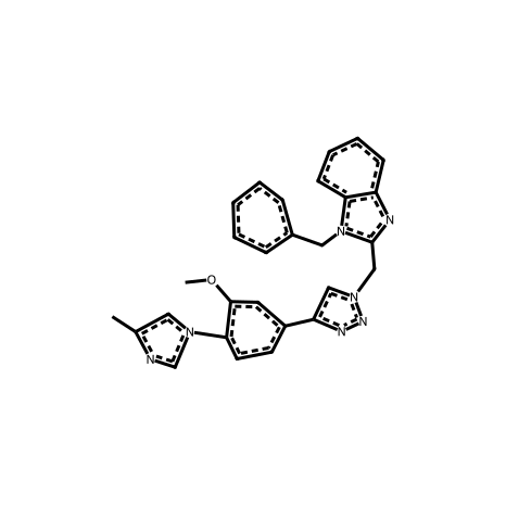 COc1cc(-c2cn(Cc3nc4ccccc4n3Cc3ccccc3)nn2)ccc1-n1cnc(C)c1